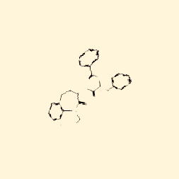 O=C(O)CN1C(=O)[C@@H](NC(=O)[C@H](Cc2ccccc2)SC(=O)c2ccccc2)CCc2ccccc21